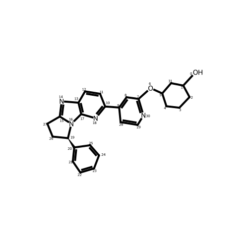 OC1CCCC(Oc2cc(-c3ccc4nc5n(c4n3)[C@@H](c3ccccc3)CC5)ccn2)C1